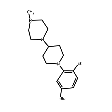 CCc1ccc(C(C)(C)C)cc1N1CCC(N2CCN(C)CC2)CC1